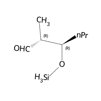 CCC[C@@H](O[SiH3])[C@@H](C)C=O